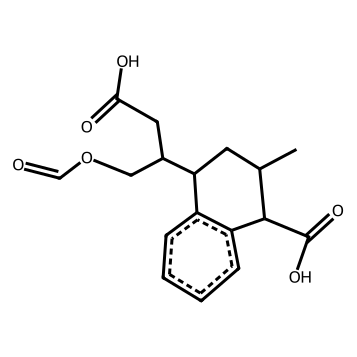 CC1CC(C(COC=O)CC(=O)O)c2ccccc2C1C(=O)O